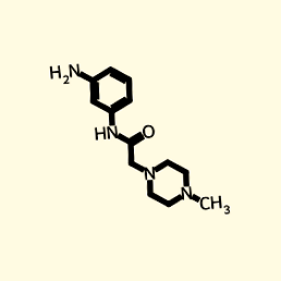 CN1CCN(CC(=O)Nc2cccc(N)c2)CC1